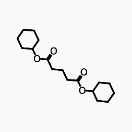 O=C(CCCC(=O)OC1CCCCC1)OC1CCCCC1